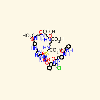 Nc1nc2ncc(CNc3ccc(C(=O)N[C@H](CCC(=O)N[C@H](CCC(=O)N[C@H](CCCN[C@H](CSSCCOC(=O)Oc4cc5c(c6ccccc46)[C@@H](CCl)CN5C(=O)c4cc5cc(NC(=O)c6cc7ccccc7[nH]6)ccc5[nH]4)C(=O)O)C(=O)O)C(=O)O)C(=O)O)cc3)nc2c(=O)[nH]1